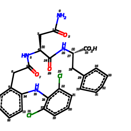 NC(=O)C[C@H](NC(=O)Cc1ccccc1Nc1c(Cl)cccc1Cl)C(=O)N[C@@H](Cc1ccccc1)C(=O)O